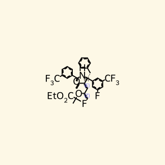 C=C/C(=C\C(=C\F)OC(C)(C)C(=O)OCC)[C@@](Cc1ccccc1)(NC(=O)c1cccc(C(F)(F)F)c1)c1cc(F)cc(C(F)(F)F)c1